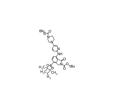 CC(C)(C)OC(=O)N1CCN(c2ccc(Nc3ccc(B4OC(C)(C)C(C)(C)O4)c4c3C(=O)N(C(=O)OC(C)(C)C)C4)nc2)CC1